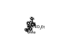 CCOC(=O)c1cnn2c(N(Cc3ccccc3)Cc3ccccc3)cc(-c3cnc4n([C@@H]5COC[C@H]5OC)cccc3-4)nc12